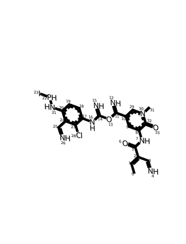 C/C=C(\C=N)C(=O)Nc1cc(C(=N)OC(=N)Nc2ccc(NPI)c(C=N)c2Cl)cn(C)c1=O